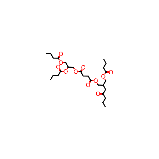 CCCC(=O)CC(COC(=O)CCC)COC(=O)CCC(=O)OCC(COC(=O)CCC)OC(=O)CCC